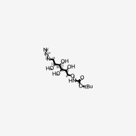 CC(C)(C)OC(=O)NOC[C@@H](O)[C@@H](O)[C@H](O)[C@H](O)CN=[N+]=[N-]